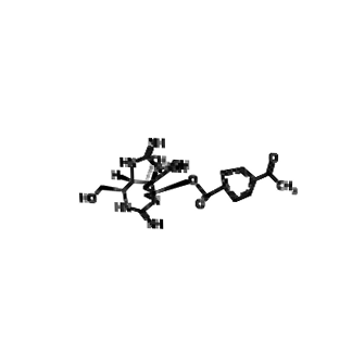 CC(=O)c1ccc(C(=O)O[C@H]2CN3C(=N)N[C@@H](CO)[C@@H]4NC(=N)N(O)[C@@]43[C@@]2(C)O)cc1